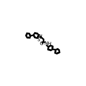 O=C(Cc1nc2ccc(-c3ccccc3)cc2s1)NCc1ccc(-c2ccccc2)cc1